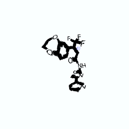 O=C(/C=C(\c1ccc2c(c1)OCCO2)C(F)(F)F)Nc1nc(-c2cccnc2)cs1